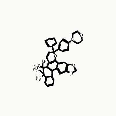 CC1(C)c2ccccc2-c2c(c3c(c4cc5c(cc24)OCO5)OC(c2ccccc2)(c2ccc(N4CCOCC4)cc2)C=C3)C1(C)C